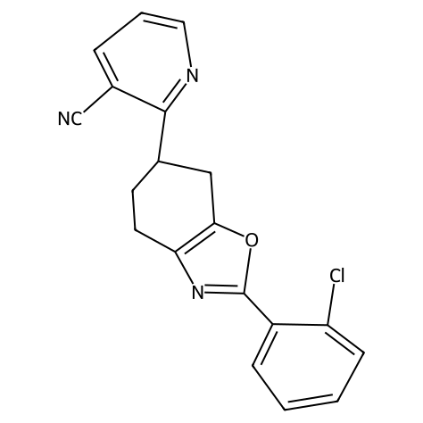 N#Cc1cccnc1C1CCc2nc(-c3ccccc3Cl)oc2C1